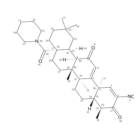 [C-]#[N+]C1=C[C@]2(C)C3=CC(=O)[C@@H]4[C@@H]5CC(C)(C)CC[C@]5(C(=O)N5CCCCC5)CC[C@@]4(C)[C@]3(C)CC[C@H]2[C@H](C)C1=O